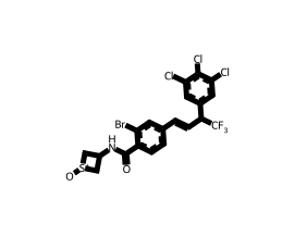 O=C(NC1C[S+]([O-])C1)c1ccc(/C=C/C(c2cc(Cl)c(Cl)c(Cl)c2)C(F)(F)F)cc1Br